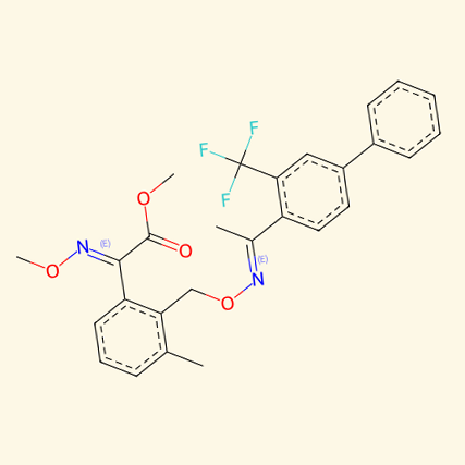 CO/N=C(/C(=O)OC)c1cccc(C)c1CO/N=C(\C)c1ccc(-c2ccccc2)cc1C(F)(F)F